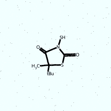 CC(C)(C)C1(C)SC(=O)N(S)C1=O